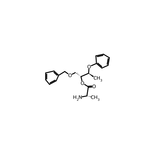 C[C@H](N)C(=O)O[C@H](COCc1ccccc1)[C@H](C)Oc1ccccc1